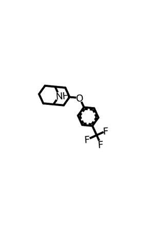 FC(F)(F)c1ccc(OC2CC3CCCC(C2)N3)cc1